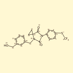 O=C1N(c2ccc(SC(F)(F)F)cc2)C(=O)C2(CC2)N1Cc1ccnc(CO)c1